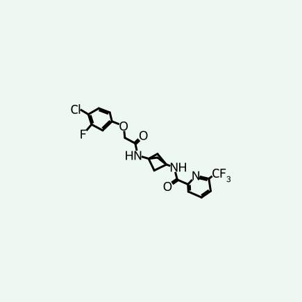 O=C(COc1ccc(Cl)c(F)c1)NC12CC(NC(=O)c3cccc(C(F)(F)F)n3)(C1)C2